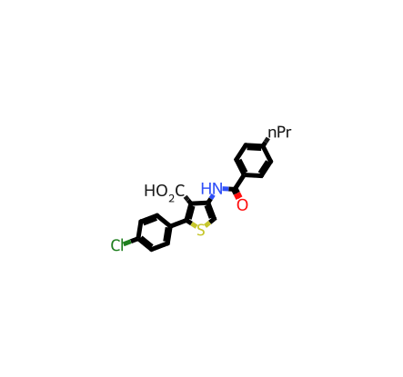 CCCc1ccc(C(=O)Nc2csc(-c3ccc(Cl)cc3)c2C(=O)O)cc1